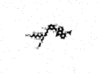 CC(CCCN(CCOCCO)C(=O)C(O)C(O)C(O)C(O)CO)c1ccc(Cl)c(CNC2(c3cnccc3-c3ccccc3OC3CC3)CC2)c1